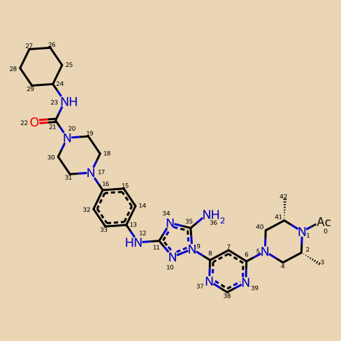 CC(=O)N1[C@H](C)CN(c2cc(-n3nc(Nc4ccc(N5CCN(C(=O)NC6CCCCC6)CC5)cc4)nc3N)ncn2)C[C@@H]1C